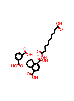 O=C(O)CCCCCCCCC(=O)O.O=C(O)c1ccc(C(=O)O)c2c1CCCC2.O=C(O)c1cccc(C(=O)O)c1